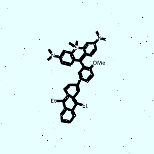 CCc1c2ccccc2c(CC)c2cc(-c3ccc(OC)c(C4=C5C=CC(N(C)C)C=C5[Si](C)(C)c5cc(N(C)C)ccc54)c3)ccc12